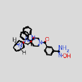 Cc1nc2ccccc2n1[C@H]1C[C@H]2CC[C@@H](C1)N2CCC1(c2ccccc2)CCN(C(=O)c2cccc(/C(N)=N/O)c2)CC1